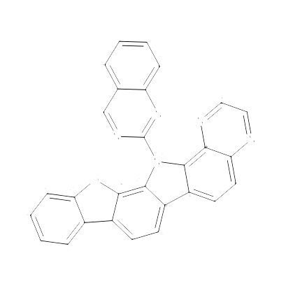 c1ccc2nc(-n3c4c(ccc5nccnc54)c4ccc5c6ccccc6oc5c43)ncc2c1